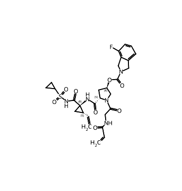 C=CC(=O)NCC(=O)N1C[C@H](OC(=O)N2Cc3cccc(F)c3C2)C[C@H]1C(=O)N[C@]1(C(=O)NS(=O)(=O)C2CC2)C[C@H]1C=C